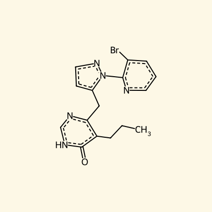 CCCc1c(Cc2ccnn2-c2ncccc2Br)nc[nH]c1=O